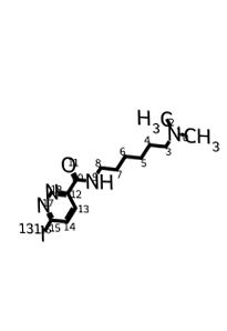 CN(C)CCCCCCNC(=O)c1ccc([131I])nn1